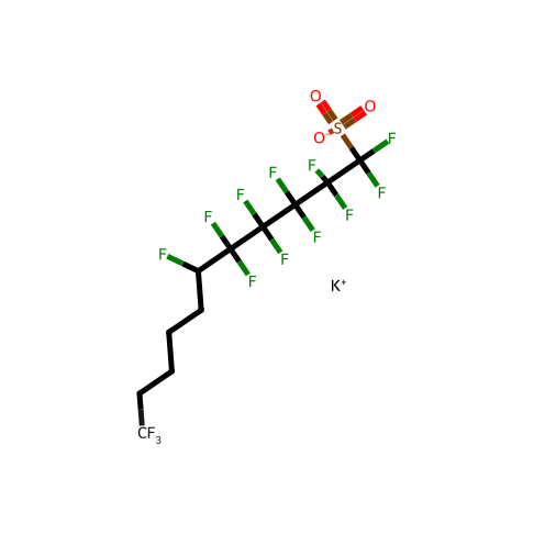 O=S(=O)([O-])C(F)(F)C(F)(F)C(F)(F)C(F)(F)C(F)(F)C(F)CCCCC(F)(F)F.[K+]